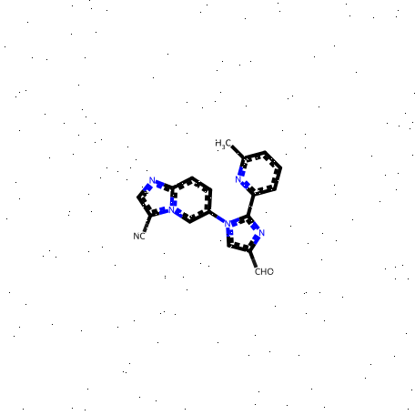 Cc1cccc(-c2nc(C=O)cn2-c2ccc3ncc(C#N)n3c2)n1